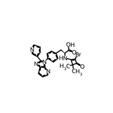 CC1(C)C(=O)C(Br)=C1N[C@@H](Cc1ccc(-n2c(-c3cccnc3)nc3cccnc32)cc1)C(=O)O